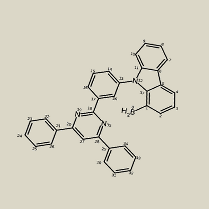 Bc1cccc2c3ccccc3n(-c3cccc(-c4nc(-c5ccccc5)cc(-c5ccccc5)n4)c3)c12